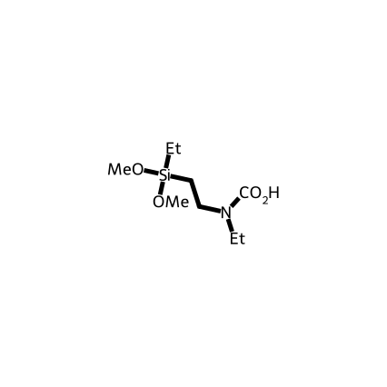 CCN(CC[Si](CC)(OC)OC)C(=O)O